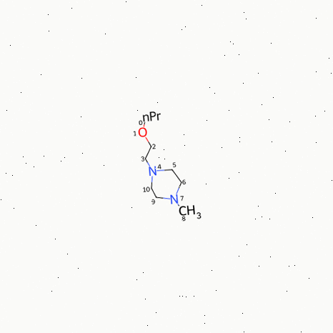 CCCOCCN1CCN(C)CC1